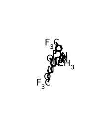 Cn1nnc(-c2ccc(C(F)(F)F)cc2F)c1Cn1ncc(N2CC(OCC(F)(F)F)C2)cc1=O